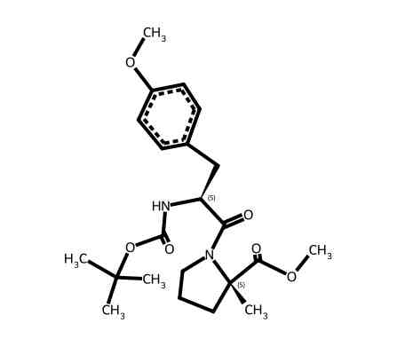 COC(=O)[C@]1(C)CCCN1C(=O)[C@H](Cc1ccc(OC)cc1)NC(=O)OC(C)(C)C